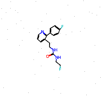 O=C(NCCF)NCCc1cccnc1-c1ccc(F)cc1